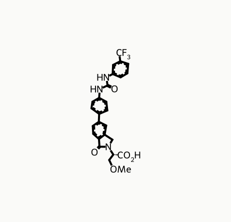 COC[C@@H](C(=O)O)N1Cc2cc(-c3ccc(NC(=O)Nc4cccc(C(F)(F)F)c4)cc3)ccc2C1=O